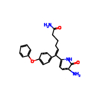 NC(=O)CCC/C=C(\c1ccc(Oc2ccccc2)cc1)c1ccc(N)c(=O)[nH]1